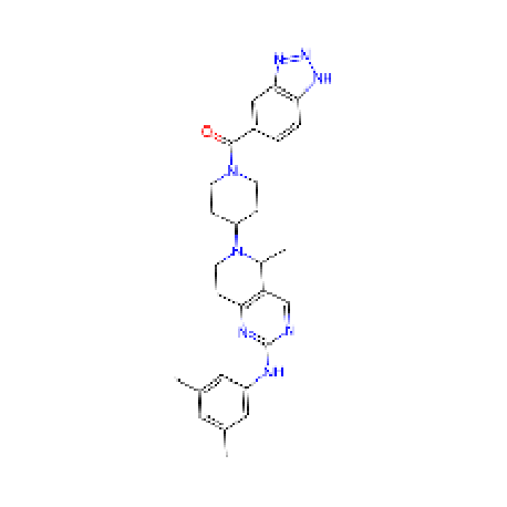 Cc1cc(C)cc(Nc2ncc3c(n2)CCN(C2CCN(C(=O)c4ccc5[nH]nnc5c4)CC2)C3C)c1